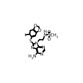 CS(=O)(=O)NCCn1c(SC2=CC3=C(CC2I)OCO3)nc2c(N)ncnc21